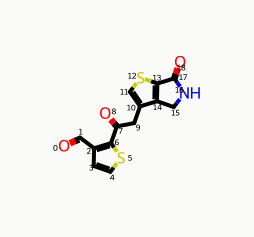 O=Cc1ccsc1C(=O)Cc1csc2c1CNC2=O